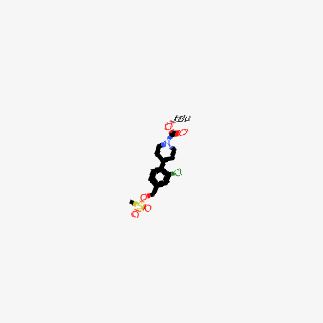 CC(C)(C)OC(=O)N1CCC(c2ccc(COS(C)(=O)=O)cc2Cl)CC1